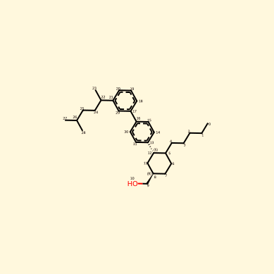 CCCCCC1CC[C@@H](CO)C[C@@H]1c1ccc(-c2cccc(C(C)CCC(C)C)c2)cc1